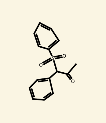 CC(=O)C(c1ccccc1)S(=O)(=O)c1ccccc1